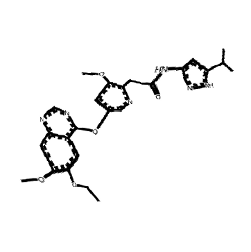 CCOc1cc2c(Oc3cnc(CC(=O)Nc4cc(C(C)C)[nH]n4)c(OC)c3)ncnc2cc1OC